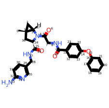 C[C@@]12C[C@@H]1N(C(=O)CNC(=O)c1ccc(Oc3ccccc3)cc1)[C@H](C(=O)NCc1ccc(N)nc1)C2